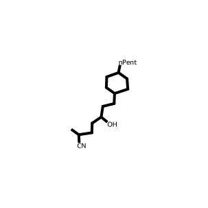 CCCCCC1CCC(CCC(O)CCC(C)C#N)CC1